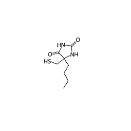 CCCCC1(CS)NC(=O)NC1=O